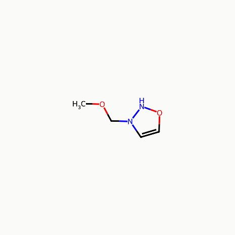 COCN1C=CON1